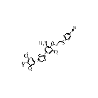 COc1cc([C@H]2SC[C@H](c3cc(OC)c(OC)c(OC)c3)S2)cc(N)c1OCCSc1ccc(C#N)cc1